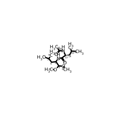 COC(OC)C(CC(C)C)NC(=O)[C@H](CC(C)C)NC(C)=O